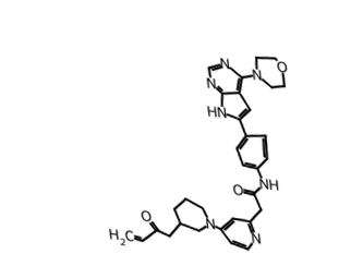 C=CC(=O)CC1CCCN(c2ccnc(CC(=O)Nc3ccc(-c4cc5c(N6CCOCC6)ncnc5[nH]4)cc3)c2)C1